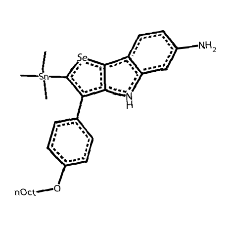 CCCCCCCCOc1ccc(-c2[c]([Sn]([CH3])([CH3])[CH3])[se]c3c2[nH]c2cc(N)ccc23)cc1